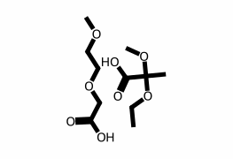 CCOC(C)(OC)C(=O)O.COCCOCC(=O)O